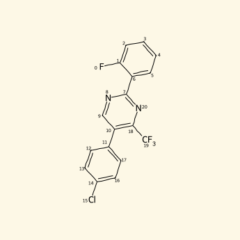 Fc1ccccc1-c1ncc(-c2ccc(Cl)cc2)c(C(F)(F)F)n1